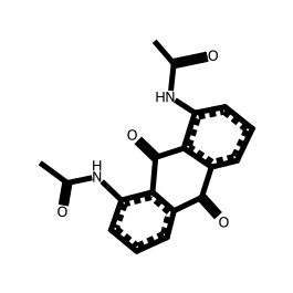 CC(=O)Nc1cccc2c1C(=O)c1c(NC(C)=O)cccc1C2=O